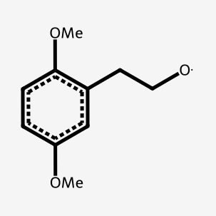 COc1ccc(OC)c(CC[O])c1